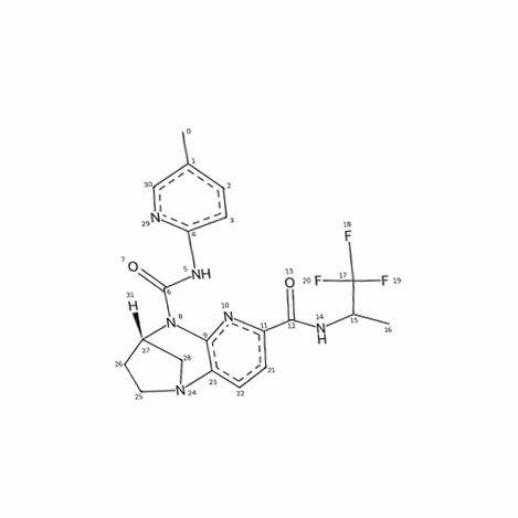 Cc1ccc(NC(=O)N2c3nc(C(=O)NC(C)C(F)(F)F)ccc3N3CC[C@H]2C3)nc1